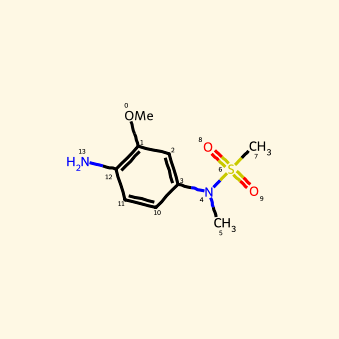 COc1cc(N(C)S(C)(=O)=O)ccc1N